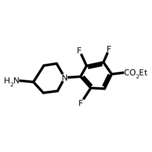 CCOC(=O)c1cc(F)c(N2CCC(N)CC2)c(F)c1F